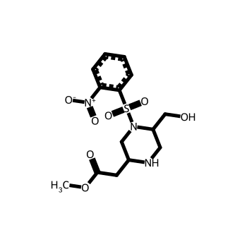 COC(=O)CC1CN(S(=O)(=O)c2ccccc2[N+](=O)[O-])C(CO)CN1